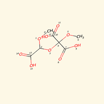 COC(OC(OC)(C(=O)O)C(=O)O)C(=O)O